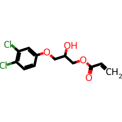 C=CC(=O)OCC(O)COc1ccc(Cl)c(Cl)c1